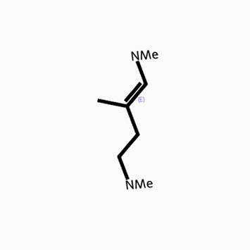 CN/C=C(\C)CCNC